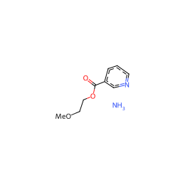 COCCOC(=O)c1cccnc1.N